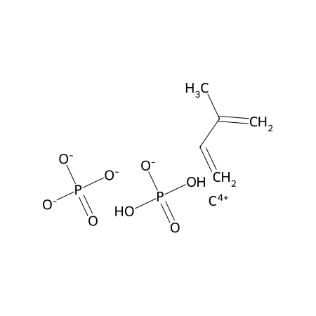 C=CC(=C)C.O=P([O-])(O)O.O=P([O-])([O-])[O-].[C+4]